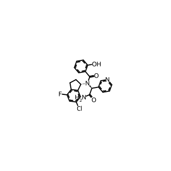 NC(=O)[C@H](c1cccnc1)N(C(=O)c1ccccc1O)[C@H]1CCc2c(F)cc(Cl)cc21